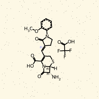 COc1ccccc1N1CC/C(=C\C2=C(C(=O)O)N3C(=O)[C@@H](N)[C@H]3SC2)C1=O.O=C(O)C(F)(F)F